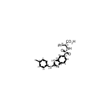 Cc1ccc(Sc2nc3ccc(S(=O)(=O)N[C@@H](C(=O)O)C(C)C)cc3s2)cc1